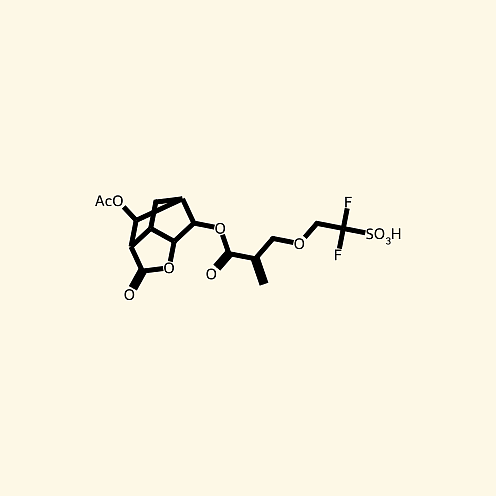 C=C(COCC(F)(F)S(=O)(=O)O)C(=O)OC1C2CC3C1OC(=O)C3C2OC(C)=O